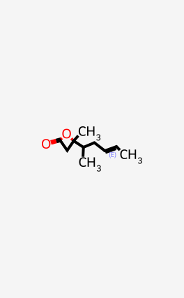 C/C=C/CC(C)C1(C)CC(=O)O1